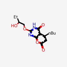 CCCCc1cc(=O)oc2nc(OCC(O)CC)[nH]c(=O)c12